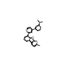 Cc1ccc2c(n1)oc1c(-c3cc(-c4cccc(C(C)C)c4)ccn3)cccc12